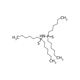 CCCCCCP(=S)(CCCCCC)NP(=S)(CCCCCC)CCCCCC